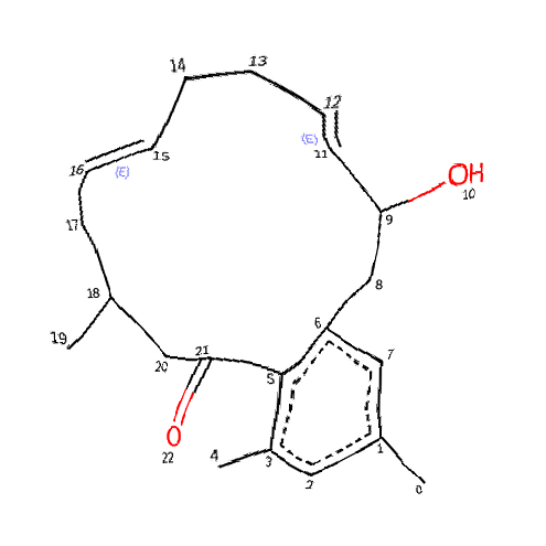 Cc1cc(C)c2c(c1)CC(O)/C=C/CC/C=C/CC(C)CC2=O